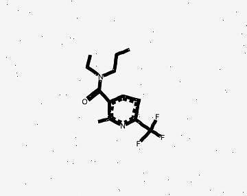 CCCN(CC)C(=O)c1ccc(C(F)(F)F)nc1C